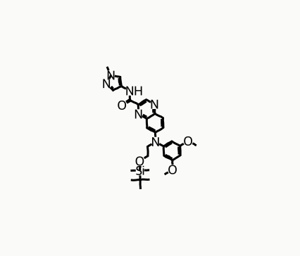 COc1cc(OC)cc(N(CCO[Si](C)(C)C(C)(C)C)c2ccc3ncc(C(=O)Nc4cnn(C)c4)nc3c2)c1